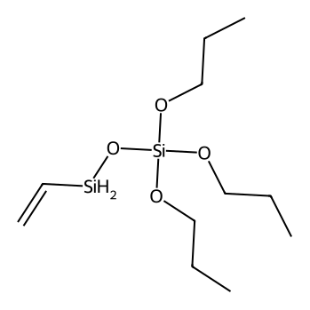 C=C[SiH2]O[Si](OCCC)(OCCC)OCCC